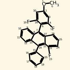 COc1cc(F)c(-c2c3ccccc3c(-c3ccccc3)c3c(F)cccc23)c(F)c1